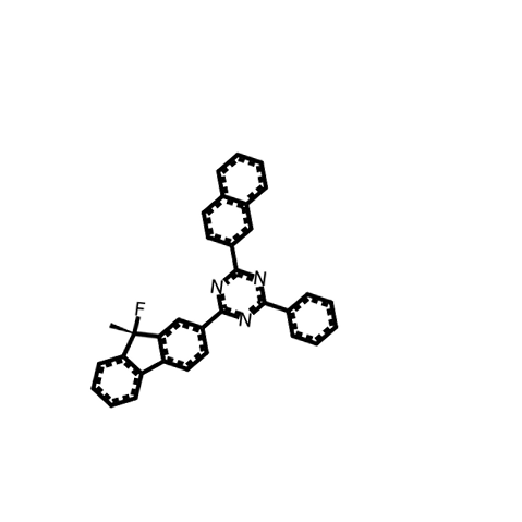 C[C@]1(F)c2ccccc2-c2ccc(-c3nc(-c4ccccc4)nc(-c4ccc5ccccc5c4)n3)cc21